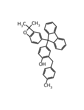 Cc1ccc(Cc2cc(C3(c4ccc5c(c4)C(C)(C)O5)c4ccccc4-c4ccccc43)ccc2O)cc1